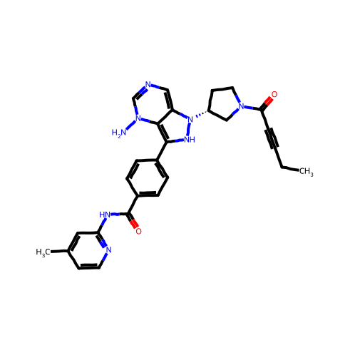 CCC#CC(=O)N1CC[C@@H](N2NC(c3ccc(C(=O)Nc4cc(C)ccn4)cc3)=C3C2=CN=CN3N)C1